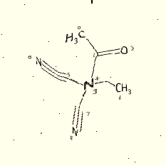 CC(=O)[N+](C)(C#N)C#N